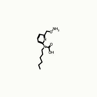 CCCCCCN(C(=O)O)c1cccc(CON)n1